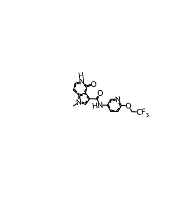 Cn1cc(C(=O)Nc2ccc(OCC(F)(F)F)nc2)c2c(=O)[nH]ccc21